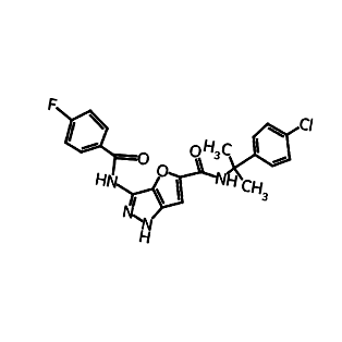 CC(C)(NC(=O)c1cc2[nH]nc(NC(=O)c3ccc(F)cc3)c2o1)c1ccc(Cl)cc1